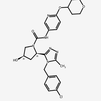 Cc1nnc([C@H]2C[C@@H](O)CN2C(=O)Nc2ccc(OC3CCOCC3)nc2)n1Cc1ccc(Cl)cc1